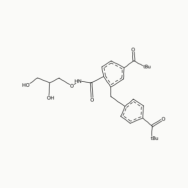 CC(C)(C)C(=O)c1ccc(Cc2cc(C(=O)C(C)(C)C)ccc2C(=O)NOCC(O)CO)cc1